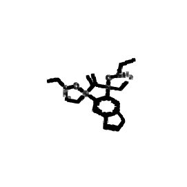 CC[SiH2]O[Si](CC)(CC)c1cc2c(cc1[Si](CC)(CC)O[SiH2]CC)CC=C2